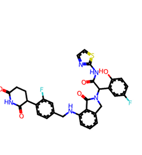 O=C1CCC(c2ccc(CNc3cccc4c3C(=O)N(C(C(=O)Nc3nccs3)c3cc(F)ccc3O)C4)cc2F)C(=O)N1